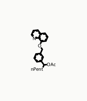 CCCCCC(OC(C)=O)c1cccc(COc2cccc3cccnc23)c1